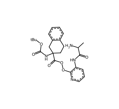 CC(N)C(=O)Nc1cccnc1OOC(=O)C1(NC(=O)OC(C)(C)C)CCc2ccccc2C1